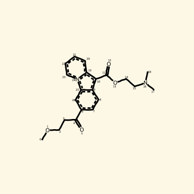 COCCC(=O)c1ccc2c(C(=O)OCCN(C)C)c3ccccn3c2c1